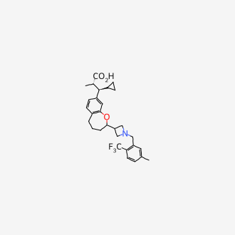 Cc1ccc(C(F)(F)F)c(CN2CC(C3CCCc4ccc([C@H](C5CC5)[C@H](C)C(=O)O)cc4O3)C2)c1